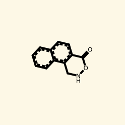 O=C1ONCc2c1ccc1ccccc21